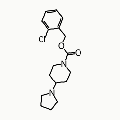 O=C(OCc1ccccc1Cl)N1CCC(N2CCCC2)CC1